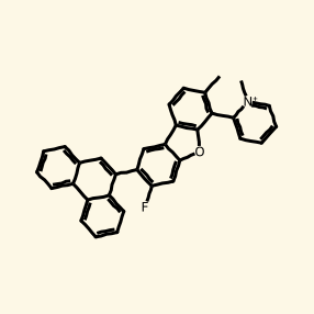 Cc1ccc2c(oc3cc(F)c(-c4cc5ccccc5c5ccccc45)cc32)c1-c1cccc[n+]1C